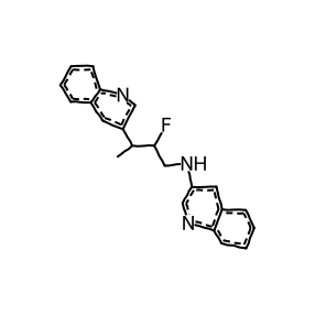 CC(c1cnc2ccccc2c1)C(F)CNc1cnc2ccccc2c1